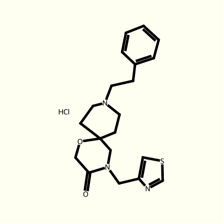 Cl.O=C1COC2(CCN(CCc3ccccc3)CC2)CN1Cc1cscn1